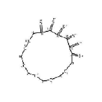 S=C1CCCCCCCCCCCCC(=S)C(=S)C(=S)C(=S)C1=S